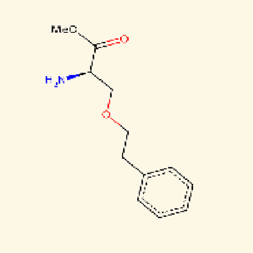 COC(=O)[C@H](N)COCCc1ccccc1